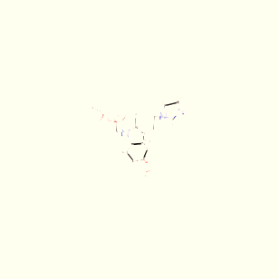 CCOC(=O)CN1c2ccc(OC)cc2C(CCn2ccnc2)C1C